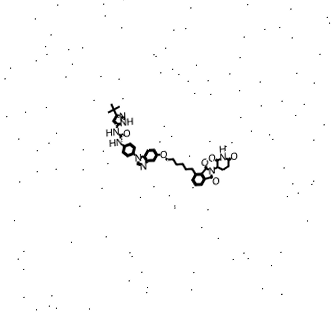 CC(C)(C)c1cc(NC(=O)Nc2ccc(-n3cnc4cc(OCCCCCCc5cccc6c5C(=O)N(C5CCC(=O)NC5=O)C6=O)ccc43)cc2)[nH]n1